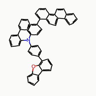 c1ccc(-c2ccccc2N(c2ccc(-c3cccc4c3ccc3c5ccccc5ccc43)cc2)c2ccc(-c3cccc4c3oc3ccccc34)cc2)cc1